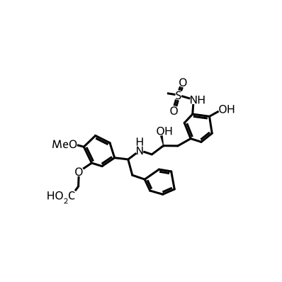 COc1ccc(C(Cc2ccccc2)NC[C@@H](O)Cc2ccc(O)c(NS(C)(=O)=O)c2)cc1OCC(=O)O